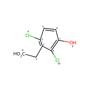 O=C(O)Cc1c(Cl)ccc(O)c1Cl